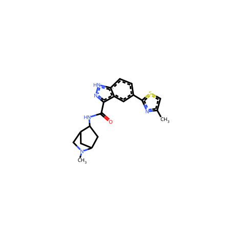 Cc1csc(-c2ccc3[nH]nc(C(=O)NC4CC5CC4CN5C)c3c2)n1